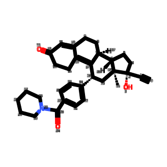 C#C[C@]1(O)CC[C@H]2[C@@H]3CCC4=CC(=O)CCC4=C3[C@@H](c3ccc(C(=O)N4CCCCC4)cc3)C[C@@]21C